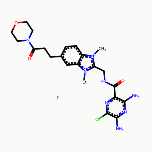 CCn1c(CNC(=O)c2nc(Cl)c(N)nc2N)[n+](C)c2ccc(CCC(=O)N3CCOCC3)cc21.[I-]